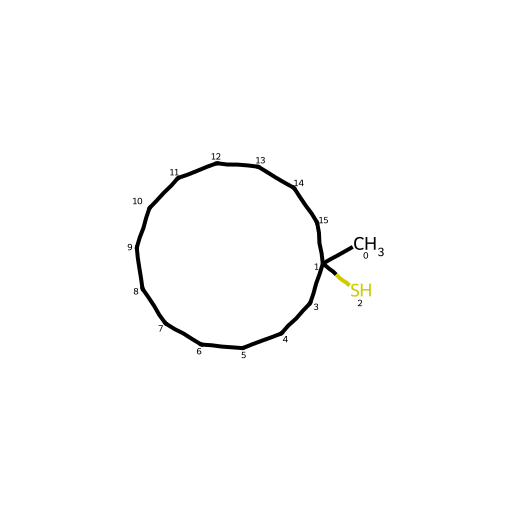 CC1(S)CCCCCCCCCCCCC1